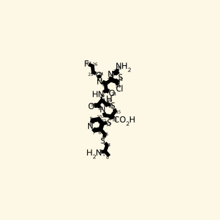 CC(N)CSCc1cnccc1SC1(C(=O)O)CS[C@@H]2[C@H](NC(=O)C(=NOCCF)c3nc(N)sc3Cl)C(=O)N2C1